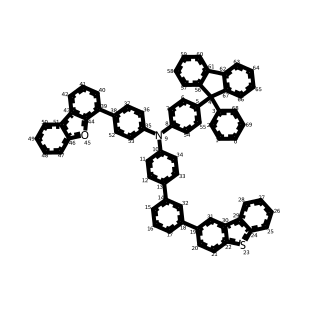 c1ccc(C2(c3ccc(N(c4ccc(-c5cccc(-c6ccc7sc8ccccc8c7c6)c5)cc4)c4ccc(-c5cccc6c5oc5ccccc56)cc4)cc3)c3ccccc3-c3ccccc32)cc1